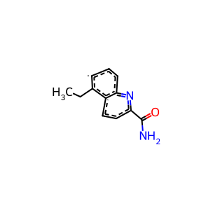 CCc1[c]ccc2nc(C(N)=O)ccc12